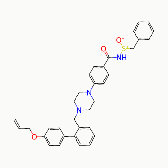 C=CCOc1ccc(-c2ccccc2CN2CCN(c3ccc(C(=O)N[S+]([O-])Cc4ccccc4)cc3)CC2)cc1